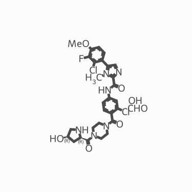 COc1ccc(-c2cnc(C(=O)Nc3ccc(C(=O)N4CCN(C(=O)[C@H]5C[C@@H](O)CN5)CC4)c(Cl)c3)n2C)c(Cl)c1F.O=CO